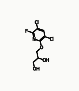 OCC(O)COc1nc(F)c(Cl)cc1Cl